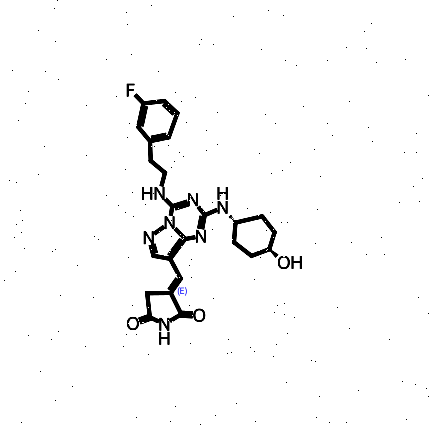 O=C1C/C(=C\c2cnn3c(NCCc4cccc(F)c4)nc(N[C@H]4CC[C@H](O)CC4)nc23)C(=O)N1